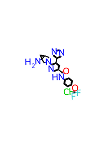 NC12C=C1CN(c1ncc(C(=O)Nc3ccc(OC(F)(F)Cl)cc3)cc1-c1cncnc1)C2